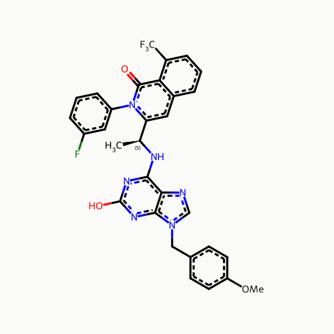 COc1ccc(Cn2cnc3c(N[C@@H](C)c4cc5cccc(C(F)(F)F)c5c(=O)n4-c4cccc(F)c4)nc(O)nc32)cc1